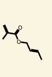 C=C(C)C(=O)OCC=CC